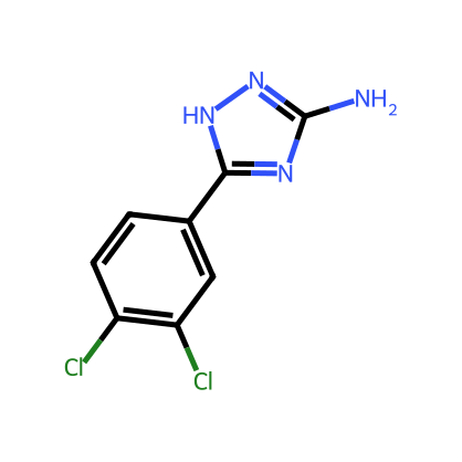 Nc1n[nH]c(-c2ccc(Cl)c(Cl)c2)n1